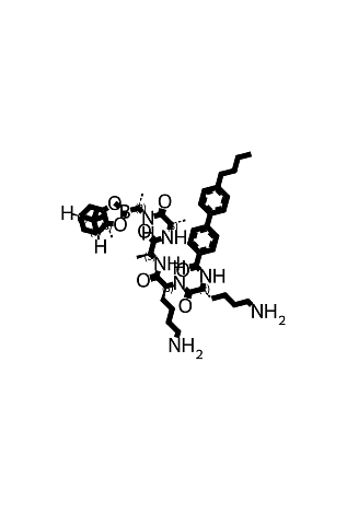 CCCCc1ccc(-c2ccc(C(=O)N[C@H](CCCCN)C(=O)N[C@@H](CCCCN)C(=O)N[C@@H](C)C(=O)N[C@@H](C)C(=O)N[C@@H](C)B3OC4C[C@@H]5C[C@@H](C5(C)C)[C@]4(C)O3)cc2)cc1